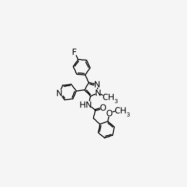 COc1ccccc1CC(=O)Nc1c(-c2ccncc2)c(-c2ccc(F)cc2)nn1C